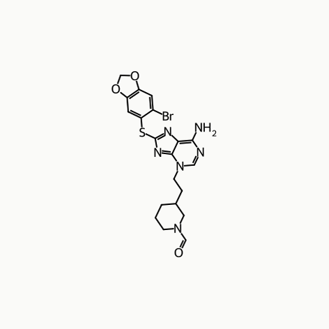 Nc1ncn(CCC2CCCN(C=O)C2)c2nc(Sc3cc4c(cc3Br)OCO4)nc1-2